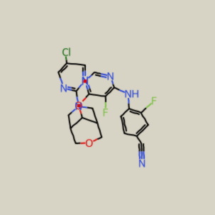 N#Cc1ccc(Nc2ncnc(OC3C4COCC3CN(c3ncc(Cl)cn3)C4)c2F)c(F)c1